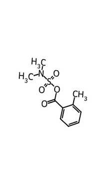 Cc1ccccc1C(=O)OS(=O)(=O)N(C)C